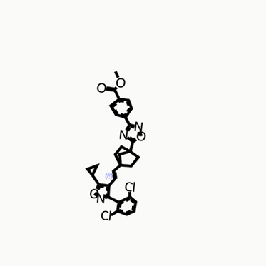 COC(=O)c1ccc(-c2noc(C34CCC(/C=C/c5c(-c6c(Cl)cccc6Cl)noc5C5CC5)(CC3)C4)n2)cc1